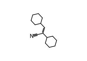 N#CC(=CC1CCCCC1)C1CCCCC1